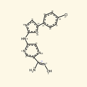 N/C(=N\O)c1cnc(Nc2ncc(-c3ccc(Cl)cc3)o2)cn1